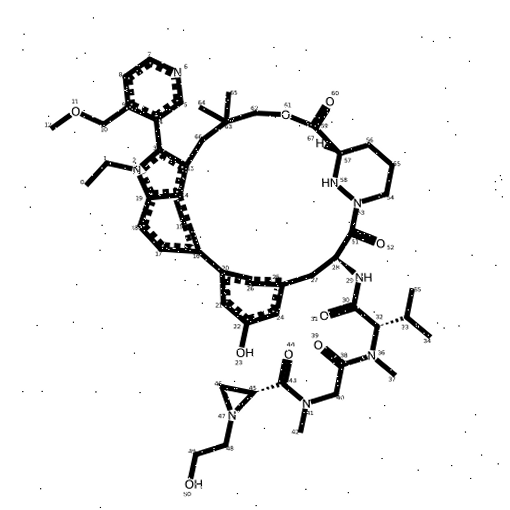 CCn1c(-c2cnccc2COC)c2c3cc(ccc31)-c1cc(O)cc(c1)C[C@H](NC(=O)[C@H](C(C)C)N(C)C(=O)CN(C)C(=O)[C@H]1CN1CCO)C(=O)N1CCC[C@H](N1)C(=O)OCC(C)(C)C2